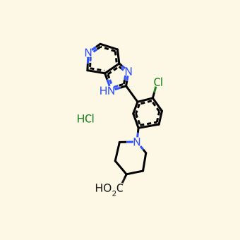 Cl.O=C(O)C1CCN(c2ccc(Cl)c(-c3nc4ccncc4[nH]3)c2)CC1